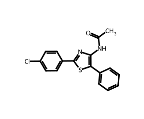 CC(=O)Nc1nc(-c2ccc(Cl)cc2)sc1-c1ccccc1